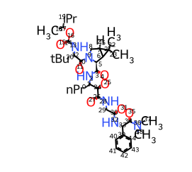 CCCC(NC(=O)[C@@H]1C2[C@H](CN1C(=O)[C@@H](NC(=O)OC(C)C(C)C)C(C)(C)C)C2(C)C)C(=O)C(=O)NCC(=O)N[C@H](C(=O)N(C)C)c1ccccc1